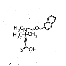 CN(CCOCc1ccc2ccccc2c1)C(C)(C)C#CC(O)=S